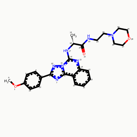 COc1ccc(-c2nc3c4ccccc4nc(N[C@H](C)C(=O)NCCN4CCOCC4)n3n2)cc1